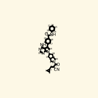 N#CC(=CC1CC1)C(=O)N1CC2CC(n3cc(-c4ccc(C(=O)Nc5ccccc5)cc4)c4c(N)ncnc43)CC2C1